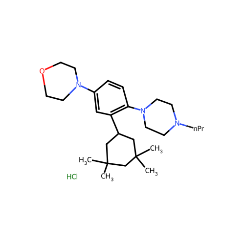 CCCN1CCN(c2ccc(N3CCOCC3)cc2C2CC(C)(C)CC(C)(C)C2)CC1.Cl